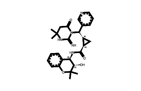 CC1(C)CC(=O)N(C(c2cccnc2)[C@@H]2C[C@H]2C(=O)N[C@@H]2c3ccccc3OC(C)(C)[C@H]2O)C(=N)N1